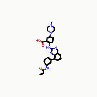 C=CC(=O)Nc1cccc(-c2cccc3cnc(Nc4ccc(N5CCN(C)CC5)cc4C(=O)O)nc23)c1